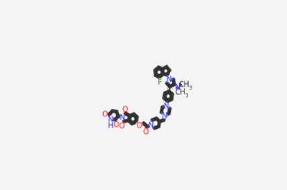 CN(C)[C@H]1CN(C2CCc3cccc(F)c32)C[C@@H]1c1ccc(N2CCN(CC3CCN(C(=O)COc4ccc5c(c4)C(=O)N(C4CCC(=O)NC4=O)C5=O)CC3)CC2)cc1